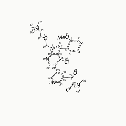 COc1ccccc1-c1cn(COCC[Si](C)(C)C)c2ncc(-c3cncc(C(=O)C(=O)N(C)C)c3)c(Cl)c12